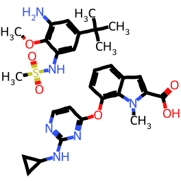 COc1c(N)cc(C(C)(C)C)cc1NS(C)(=O)=O.Cn1c(C(=O)O)cc2cccc(Oc3ccnc(NC4CC4)n3)c21